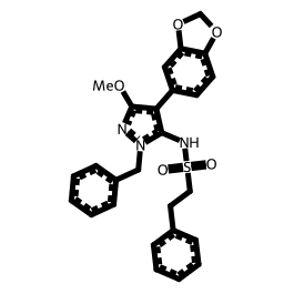 COc1nn(Cc2ccccc2)c(NS(=O)(=O)CCc2ccccc2)c1-c1ccc2c(c1)OCO2